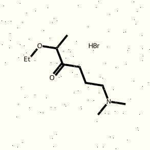 Br.CCOC(C)C(=O)CCCN(C)C